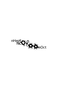 CCCCCCCCc1ccc(-c2ccc(OC(=O)[C@H]3CC[C@@](C#N)(CCCCCCC)CC3)cc2)cc1